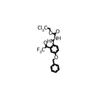 O=C(NNc1ccc(OCc2ccccc2)cc1C(=O)C(F)(F)F)OCC(Cl)(Cl)Cl